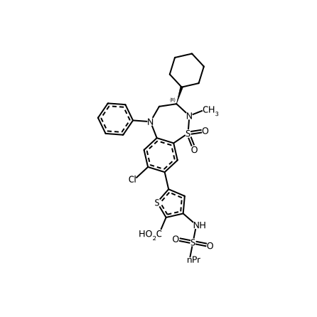 CCCS(=O)(=O)Nc1cc(-c2cc3c(cc2Cl)N(c2ccccc2)C[C@@H](C2CCCCC2)N(C)S3(=O)=O)sc1C(=O)O